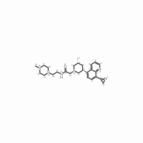 C[C@@H]1C[C@@H](c2ccc(C3=NC3)c3ncccc23)CN(CC(=O)NCCN2CCN(C)CC2)C1